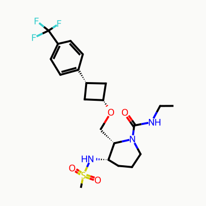 CCNC(=O)N1CCC[C@H](NS(C)(=O)=O)[C@@H]1CO[C@H]1C[C@@H](c2ccc(C(F)(F)F)cc2)C1